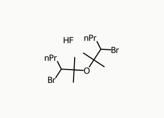 CCCC(Br)C(C)(C)OC(C)(C)C(Br)CCC.F